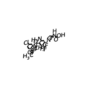 CCS(=O)(=O)c1ccc(Cl)cc1N(C)C(=O)c1cc(C(F)(F)F)c(CN2CC[C@@H](NC(=O)O)C2)cc1N